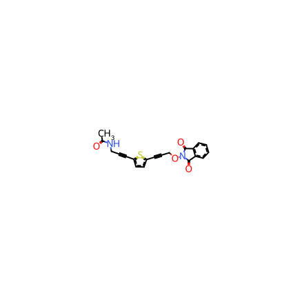 CC(=O)NCC#Cc1ccc(C#CCON2C(=O)c3ccccc3C2=O)s1